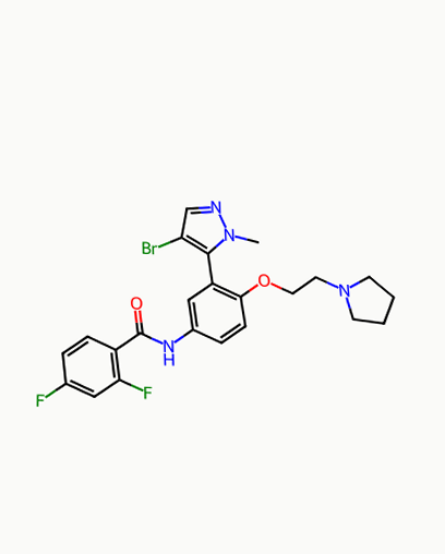 Cn1ncc(Br)c1-c1cc(NC(=O)c2ccc(F)cc2F)ccc1OCCN1CCCC1